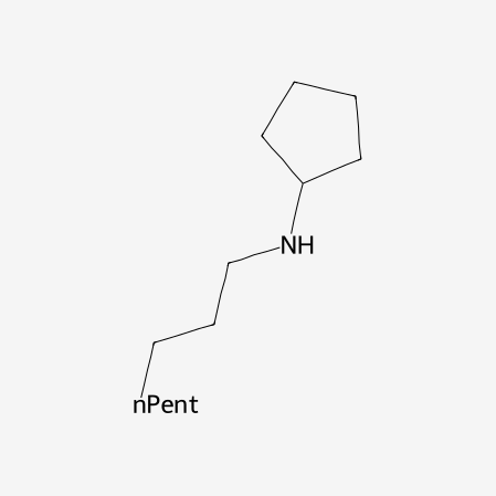 CCCCCCCCNC1CCCC1